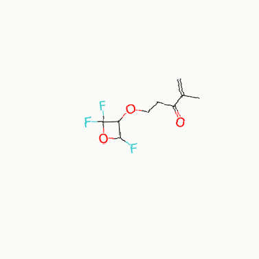 C=C(C)C(=O)CCOC1C(F)OC1(F)F